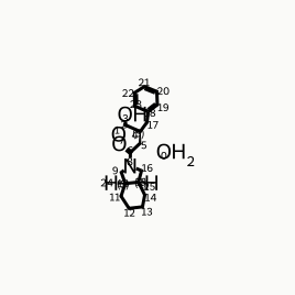 O.O=C(O)[C@H](CC(=O)N1C[C@H]2CCCC[C@H]2C1)Cc1ccccc1